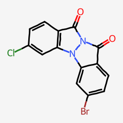 O=c1c2ccc(Cl)cc2n2c3cc(Br)ccc3c(=O)n12